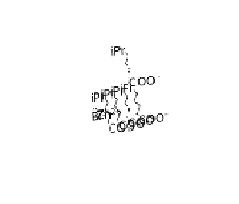 CC(C)CCCCC(=O)[O-].CC(C)CCCCC(=O)[O-].CC(C)CCCCC(=O)[O-].CC(C)CCCCC(=O)[O-].CC(C)CCCCC(=O)[O-].[Bi+3].[Zn+2]